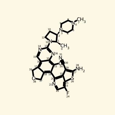 C[C@@H]1[C@H](N2CCN(C)CC2)CCN1c1ncc2c3c(c(-c4ncc(F)c5sc(N)c(C#N)c45)c(Cl)c2n1)COC3